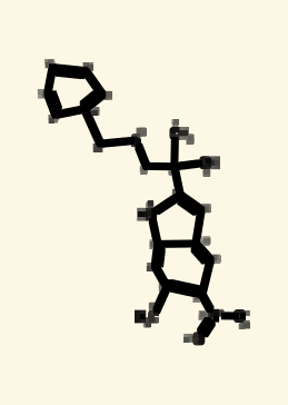 Cc1cc2[nH]c(C(C)(O)CSCc3ccccc3)cc2cc1[N+](=O)[O-]